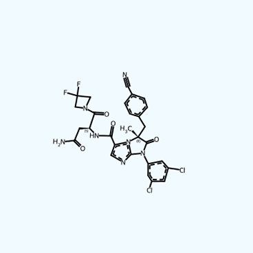 C[C@@]1(Cc2ccc(C#N)cc2)C(=O)N(c2cc(Cl)cc(Cl)c2)c2ncc(C(=O)N[C@@H](CC(N)=O)C(=O)N3CC(F)(F)C3)n21